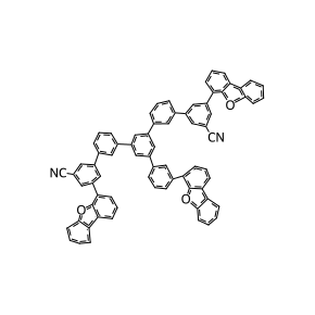 N#Cc1cc(-c2cccc(-c3cc(-c4cccc(-c5cc(C#N)cc(-c6cccc7c6oc6ccccc67)c5)c4)cc(-c4cccc(-c5cccc6c5oc5ccccc56)c4)c3)c2)cc(-c2cccc3c2oc2ccccc23)c1